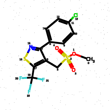 COS(=O)(=O)Cc1c(-c2ccc(Cl)cc2)nsc1C(F)(F)F